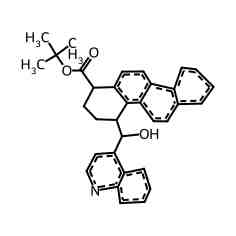 CC(C)(C)OC(=O)C1CCC(C(O)c2ccnc3ccccc23)c2c1ccc1c2ccc2ccccc21